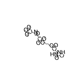 COc1cc(C2NC(=O)c3ccccc3N2)ccc1OCCCCOc1c(OC)cc(-c2cc(-c3cc(OC)c(OC)c(OC)c3)no2)cc1OC